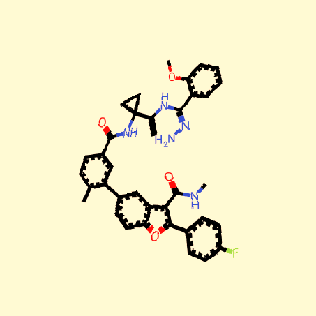 C=C(N/C(=N\N)c1ccccc1OC)C1(NC(=O)c2ccc(C)c(-c3ccc4oc(-c5ccc(F)cc5)c(C(=O)NC)c4c3)c2)CC1